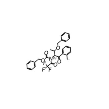 [CH2]c1ccccc1C(=O)[C@H](C(C)OCc1ccccc1)N(C(=O)OCc1ccccc1)C(=O)C(F)(F)F